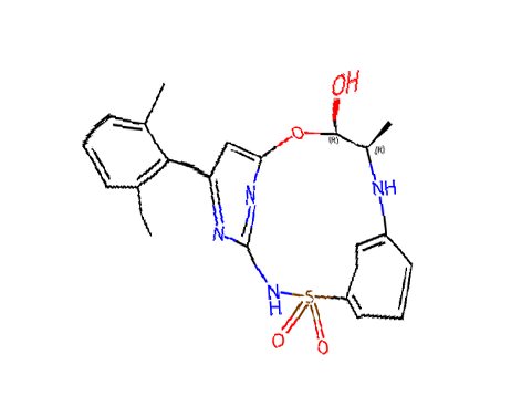 Cc1cccc(C)c1-c1cc2nc(n1)NS(=O)(=O)c1cccc(c1)N[C@H](C)[C@H](O)O2